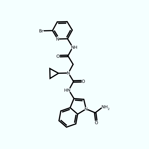 NC(=O)n1cc(NC(=O)N(CC(=O)Nc2cccc(Br)n2)C2CC2)c2ccccc21